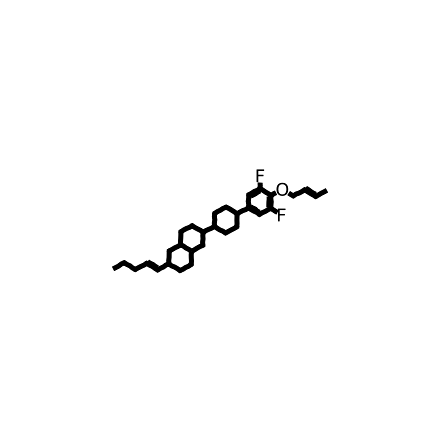 CC=CCOc1c(F)cc(C2CCC(C3CCC4CC(C=CCCC)CCC4C3)CC2)cc1F